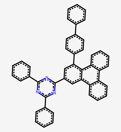 c1ccc(-c2ccc(-c3cc(-c4nc(-c5ccccc5)nc(-c5ccccc5)n4)cc4c5ccccc5c5ccccc5c34)cc2)cc1